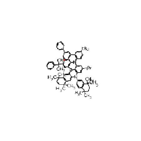 CC(C)c1cc2c3c(c1)N(c1ccc(C(C)(C)C)cc1-c1cccc(-c4ccccc4)c1)c1ccc(C(C)(C)c4ccccc4)cc1B3c1cc3c(cc1N2c1ccc2c(c1)C(C)(C)CCC2(C)C)C(C)(C)CCC3(C)C